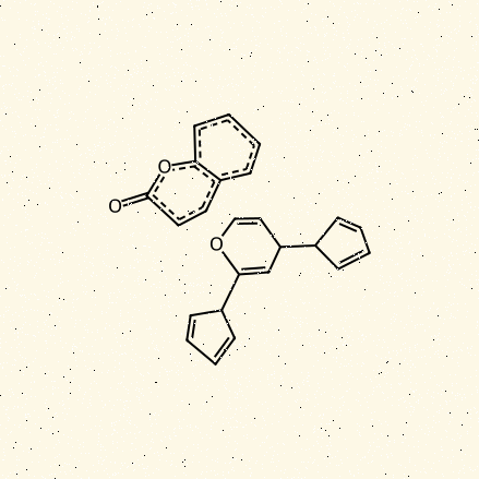 C1=CC(C2=CC(C3C=CC=C3)C=CO2)C=C1.O=c1ccc2ccccc2o1